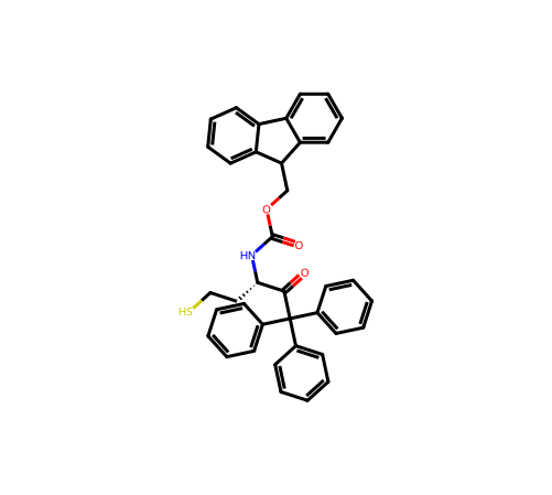 O=C(N[C@@H](CCS)C(=O)C(c1ccccc1)(c1ccccc1)c1ccccc1)OCC1c2ccccc2-c2ccccc21